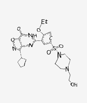 CCOc1ccc(S(=O)(=O)N2CCN(CCO)CC2)cc1-c1nc2c(C3CCCC3)noc2c(=O)[nH]1